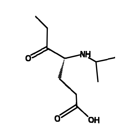 CCC(=O)[C@@H](CCC(=O)O)NC(C)C